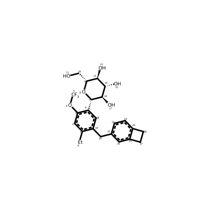 CCc1cc(OC(F)(F)F)c([C@@H]2O[C@H](CO)[C@@H](O)[C@H](O)[C@H]2O)cc1Cc1ccc2c(c1)CC2